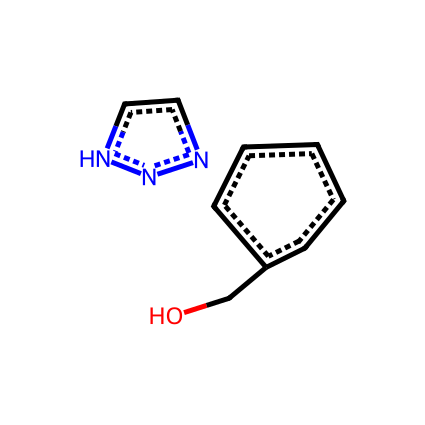 OCc1ccccc1.c1c[nH]nn1